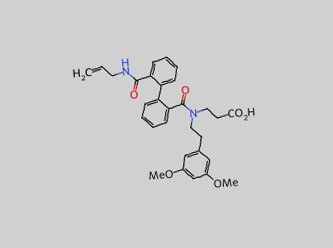 C=CCNC(=O)c1ccccc1-c1ccccc1C(=O)N(CCC(=O)O)CCc1cc(OC)cc(OC)c1